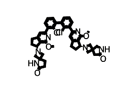 COc1nc(-c2cccc(-c3cccc(-c4cc5c(c(OC)n4)[C@@H](N4CC6(CCC(=O)N6)C4)CC5)c3Cl)c2Cl)cc2c1[C@H](N1CC3(CNC(=O)C3)C1)CC2